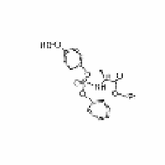 CC(C)OC(=O)[C@H](C)NP(=O)(Oc1ccccc1)Oc1ccc(OO)cc1